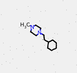 CN1CCN(C[CH]C2CCCCC2)CC1